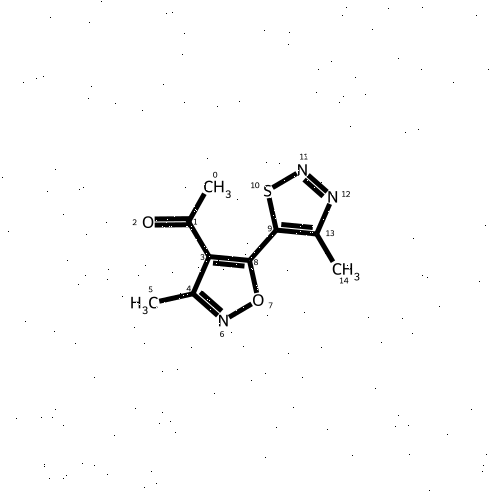 CC(=O)c1c(C)noc1-c1snnc1C